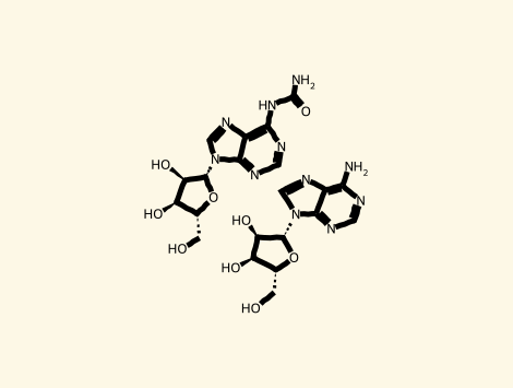 NC(=O)Nc1ncnc2c1ncn2[C@@H]1O[C@H](CO)[C@@H](O)[C@H]1O.Nc1ncnc2c1ncn2[C@@H]1O[C@H](CO)[C@@H](O)[C@H]1O